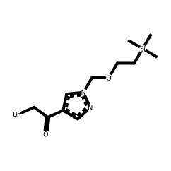 C[Si](C)(C)CCOCn1cc(C(=O)CBr)cn1